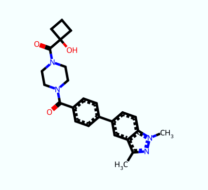 Cc1nn(C)c2ccc(-c3ccc(C(=O)N4CCN(C(=O)C5(O)CCC5)CC4)cc3)cc12